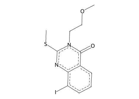 COCCn1c(SC)nc2c(I)cccc2c1=O